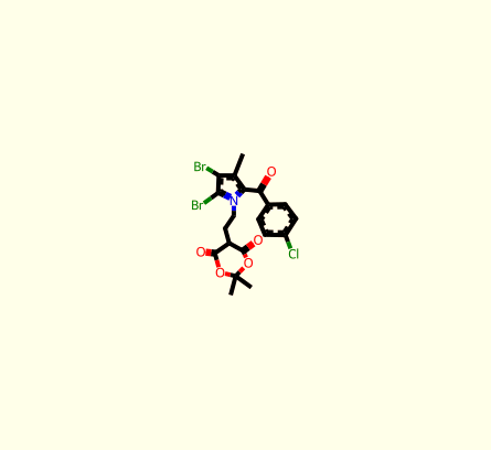 Cc1c(Br)c(Br)n(CCC2C(=O)OC(C)(C)OC2=O)c1C(=O)c1ccc(Cl)cc1